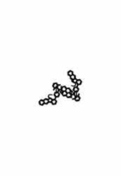 Cc1cccc(C)c1N(c1ccc(-c2cccc3c2sc2cc4ccccc4cc23)cc1)c1ccc2ccc3c(N(c4ccc(-c5cccc6c5sc5cc7ccccc7cc56)cc4)c4c(C)cccc4C)ccc4ccc1c2c43